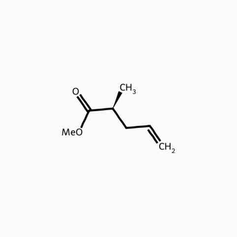 C=CC[C@H](C)C(=O)OC